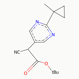 CC(C)(C)OC(=O)C(C#N)c1cnc(C2(C)CC2)nc1